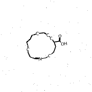 O=C(O)C1CCCCCCCCCCC=NCCCC1